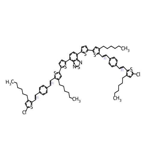 CCCCCCc1cc(Cl)sc1/C=C/c1ccc(/C=C/c2sc(-c3ccc(-c4ccc(-c5ccc(-c6cc(CCCCCC)c(/C=C/c7ccc(/C=C/c8sc(Cl)cc8CCCCCC)cc7)s6)s5)c5nsnc45)s3)cc2CCCCCC)cc1